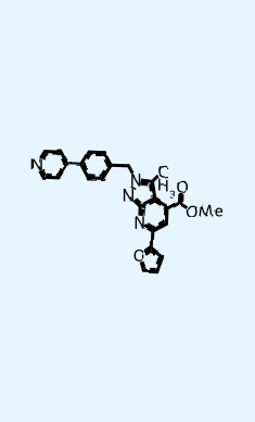 COC(=O)c1cc(-c2ccco2)nc2nn(Cc3ccc(-c4ccncc4)cc3)c(C)c12